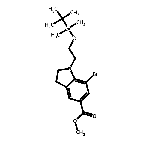 COC(=O)c1cc(Br)c2c(c1)CCN2CCO[Si](C)(C)C(C)(C)C